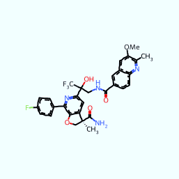 COc1cc2cc(C(=O)NCC(O)(c3cc4c(c(-c5ccc(F)cc5)n3)OC[C@]4(C)C(N)=O)C(F)(F)F)ccc2nc1C